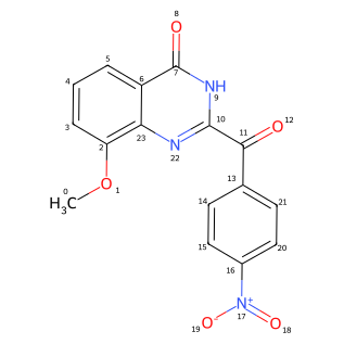 COc1cccc2c(=O)[nH]c(C(=O)c3ccc([N+](=O)[O-])cc3)nc12